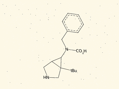 CC(C)(C)C12CNCC1C2N(Cc1ccccc1)C(=O)O